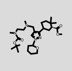 COC(=O)[C@H]1CC(c2nn(C3CCCCO3)cc2CN(C)CCN(C)C(=O)OC(C)(C)C)CCC1(C)C